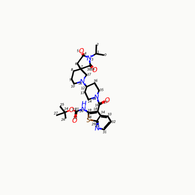 CC(C)N1C(=O)CC2(CCCN(C3CCN(C(=O)c4c(NC(=O)OC(C)(C)C)sc5ncccc45)CC3)C2)C1=O